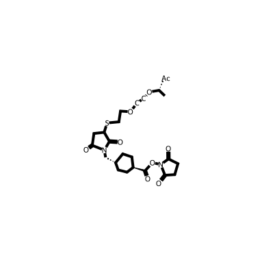 CC(=O)[C@H](C)OCCOCCSC1CC(=O)N(C[C@H]2CC[C@H](C(=O)ON3C(=O)CCC3=O)CC2)C1=O